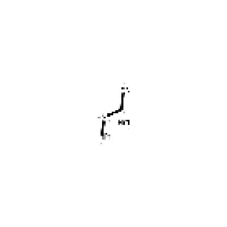 CCCNCC#N.Cl